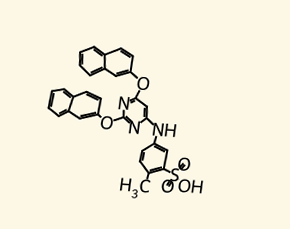 Cc1ccc(Nc2cc(Oc3ccc4ccccc4c3)nc(Oc3ccc4ccccc4c3)n2)cc1S(=O)(=O)O